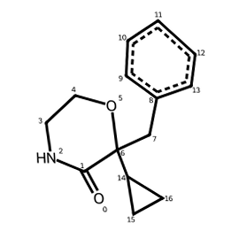 O=C1NCCOC1(Cc1ccccc1)C1CC1